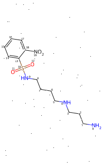 NCCCNCCCCNS(=O)(=O)c1ccccc1[N+](=O)[O-]